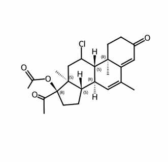 CC(=O)O[C@]1(C(C)=O)CC[C@H]2[C@@H]3C=C(C)C4=CC(=O)CC[C@]4(C)[C@H]3C(Cl)C[C@@]21C